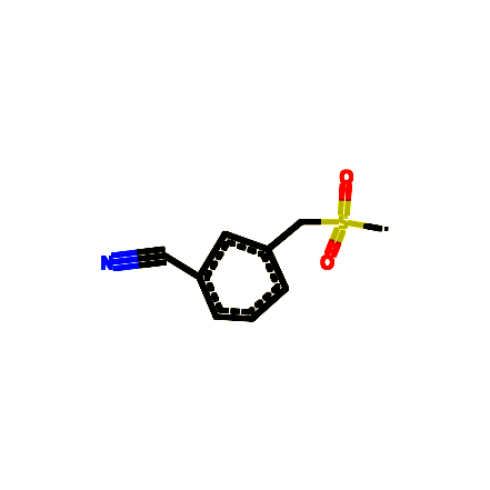 [CH2]S(=O)(=O)Cc1cccc(C#N)c1